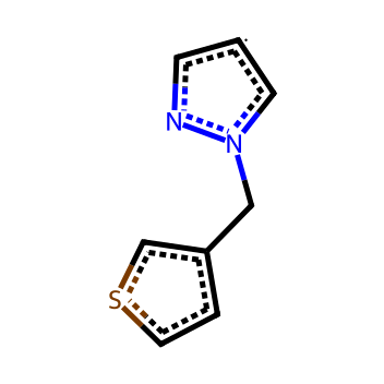 [c]1cnn(Cc2ccsc2)c1